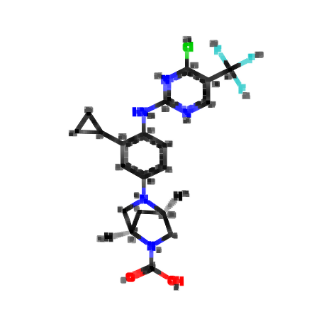 O=C(O)N1C[C@H]2C[C@@H]1CN2c1ccc(Nc2ncc(C(F)(F)F)c(Cl)n2)c(C2CC2)c1